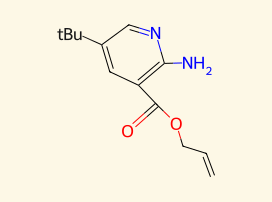 C=CCOC(=O)c1cc(C(C)(C)C)cnc1N